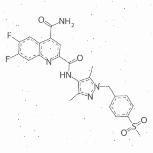 Cc1nn(Cc2ccc(S(C)(=O)=O)cc2)c(C)c1NC(=O)c1cc(C(N)=O)c2cc(F)c(F)cc2n1